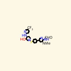 CNc1cc(-c2ccc(SN3CCC(Nc4ccc(C(F)(F)F)cn4)C(O)C3)cc2)cnc1NC=O